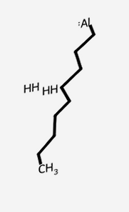 CCCCCCCC[CH2][Al].[HH].[HH]